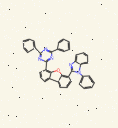 c1ccc(-c2nc(-c3ccccc3)nc(-c3cccc4c3oc3c(-c5nc6ccccc6n5-c5ccccc5)cccc34)n2)cc1